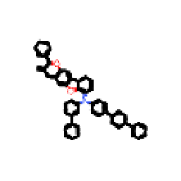 C=C1Cc2cc3oc4c(N(c5ccc(-c6ccc(-c7ccccc7)cc6)cc5)c5cccc(-c6ccccc6)c5)cccc4c3cc2OC1c1ccccc1